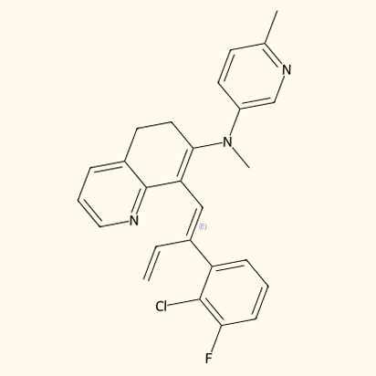 C=C/C(=C\C1=C(N(C)c2ccc(C)nc2)CCc2cccnc21)c1cccc(F)c1Cl